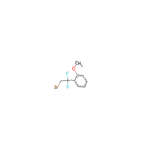 COc1ccccc1C(F)(F)CBr